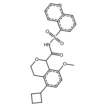 COc1ccc(C2CCC2)c2c1C(C(=O)NS(=O)(=O)c1cccc3ncccc13)OCC2